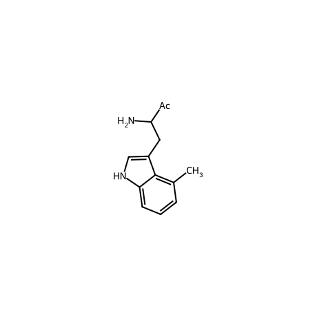 CC(=O)C(N)Cc1c[nH]c2cccc(C)c12